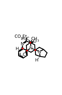 CCOC(=O)c1nc2ccccc2n([C@H]2CC3CC[C@@H](C2)N3C2CC(C)(C)CC(C)(C)C2)c1=O